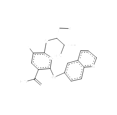 CC(C)C[C@@H](Nc1nc(Nc2ccc3ncccc3c2)c(C(N)=O)cc1F)[C@H](C)N